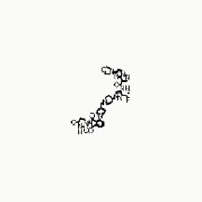 O=C1CCN(N2C(=O)c3cccc(N4CCC(CN5CCC(n6cc(NC(=O)c7cnn8ccc(N9CCOCC9)nc78)c(C(F)F)n6)CC5)CC4)c3C2=O)C(=O)N1